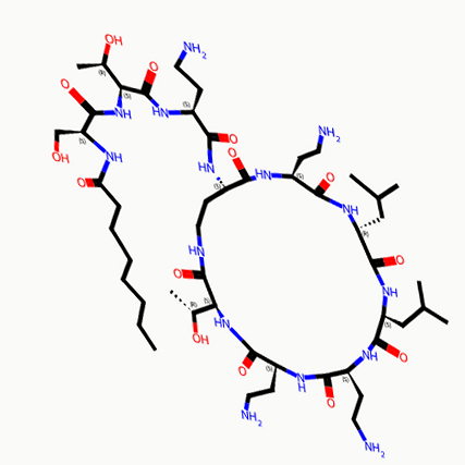 CCCCCCCC(=O)N[C@@H](CO)C(=O)N[C@H](C(=O)N[C@@H](CCN)C(=O)N[C@H]1CCNC(=O)[C@H]([C@@H](C)O)NC(=O)[C@H](CCN)NC(=O)[C@H](CCN)NC(=O)[C@H](CC(C)C)NC(=O)[C@@H](CC(C)C)NC(=O)[C@H](CCN)NC1=O)[C@@H](C)O